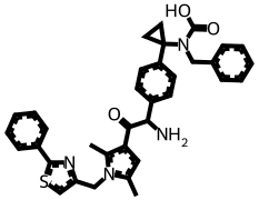 Cc1cc(C(=O)C(N)c2ccc(C3(N(Cc4ccccc4)C(=O)O)CC3)cc2)c(C)n1Cc1csc(-c2ccccc2)n1